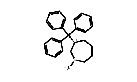 NN1CCCC[C@H](C(c2ccccc2)(c2ccccc2)c2ccccc2)C1